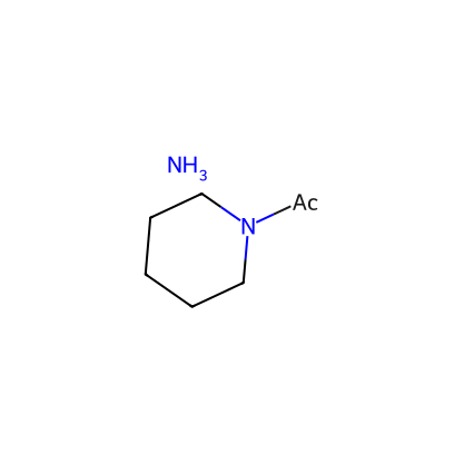 CC(=O)N1CCCCC1.N